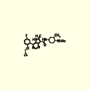 CC(=O)NC1CCC(NC(=O)c2c(C)[nH]c3c(-c4cc(F)ccc4OCC4CC4)ncnc23)CC1C